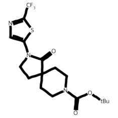 CC(C)(C)OC(=O)N1CCC2(CC1)CCN(c1cnc(C(F)(F)F)s1)C2=O